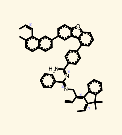 C=C/C(C/N=C(\N=C(/N)c1ccc(-c2cccc3oc4ccc(-c5ccc6ccc(C)c(/C=C\C)c6c5)cc4c23)cc1)c1ccccc1)=C1\C(=C/C)C(C)(C)c2ccccc21